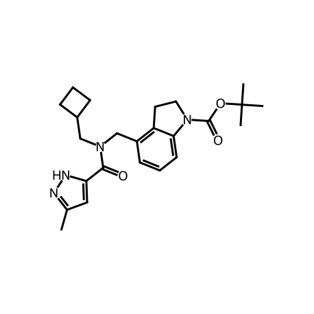 Cc1cc(C(=O)N(Cc2cccc3c2CCN3C(=O)OC(C)(C)C)CC2CCC2)[nH]n1